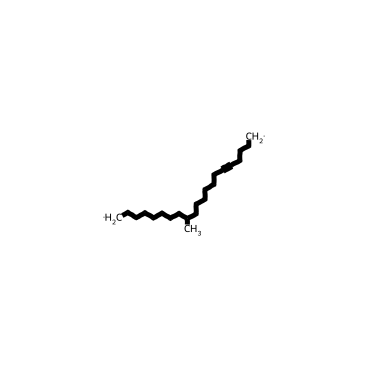 [CH2]CCCC#CCCCCCCC(C)CCCCCCC[CH2]